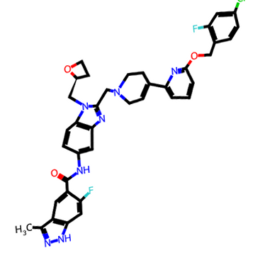 Cc1n[nH]c2cc(F)c(C(=O)Nc3ccc4c(c3)nc(CN3CC=C(c5cccc(OCc6ccc(Cl)cc6F)n5)CC3)n4C[C@@H]3CCO3)cc12